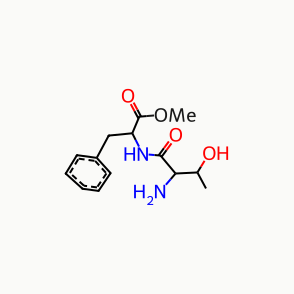 COC(=O)C(Cc1ccccc1)NC(=O)C(N)C(C)O